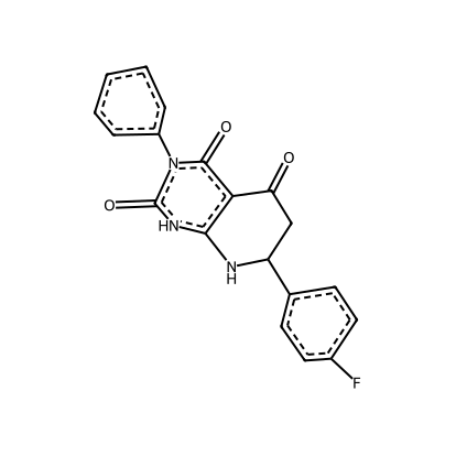 O=C1CC(c2ccc(F)cc2)Nc2[nH]c(=O)n(-c3ccccc3)c(=O)c21